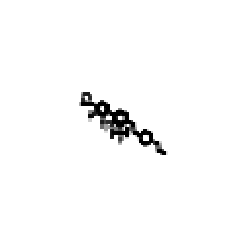 CCCC1CCC(CCc2ccc(-c3ccc(C4CO4)c(F)c3F)c(F)c2C(F)(F)F)CC1